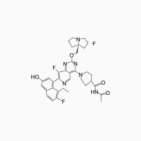 CCc1c(F)ccc2cc(O)cc(-c3ncc4c(N5CCC(C(=O)NC(C)=O)CC5)nc(OC[C@@]56CCCN5C[C@H](F)C6)nc4c3F)c12